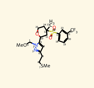 COCn1nc(CCSC)cc1C1CC(C)(S(=O)(=O)c2cccc(C(F)(F)F)c2)CCO1